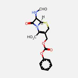 O=CNC1C(=O)N2C(C(=O)O)=C(COC(=O)Oc3ccccc3)CS[C@H]12